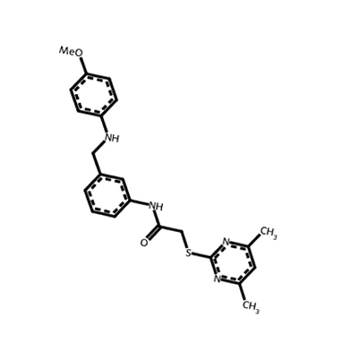 COc1ccc(NCc2cccc(NC(=O)CSc3nc(C)cc(C)n3)c2)cc1